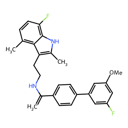 C=C(NCCc1c(C)[nH]c2c(F)ccc(C)c12)c1ccc(-c2cc(F)cc(OC)c2)cc1